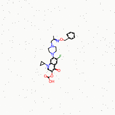 CC(CN1CCN(c2cc3c(cc2F)c(=O)c(OC(=O)O)cn3C2CC2)CC1)=NOCc1ccccc1